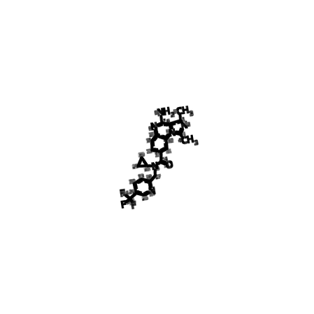 Cc1nc(C)n2c1c(N)nc1ccc(C(=O)N(Cc3ccc(C(F)(F)F)cn3)C3CC3)cc12